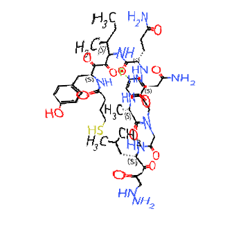 CC[C@H](C)C(NC(=O)[C@H](CCC(N)=O)NN[C@@H](CC(N)=O)C(=O)N[C@@H](C)C(=O)N(CC(=O)N[C@@H](CC(C)C)C(=O)C(=O)CNN)Cc1ccc(F)cc1)C(=O)C(=O)[C@H](Cc1ccc(O)cc1)NC(=O)CCCS